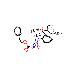 CC(CC(C)(C)C)C(C)(O[SiH3])c1ccccc1NC(=O)CNC(=O)OCc1ccccc1